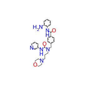 Nc1ccccc1NC(=O)c1ccc(CN(CCCN2CCOCC2)C(=O)Nc2cccnc2)cc1